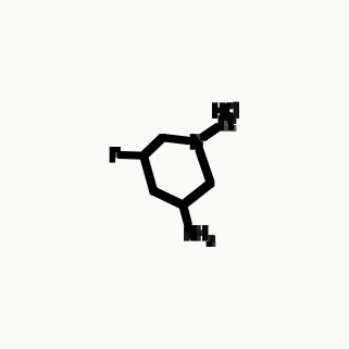 CCN1CC(N)CC(F)C1.Cl